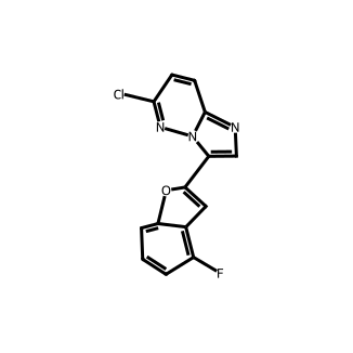 Fc1cccc2oc(-c3cnc4ccc(Cl)nn34)cc12